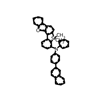 C[Si]1(C)c2ccc3c(oc4ccccc43)c2-c2cccc(N(c3ccccc3)c3ccc(-c4ccc5ccccc5c4)cc3)c21